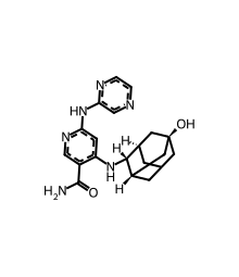 NC(=O)c1cnc(Nc2cnccn2)cc1N[C@@H]1[C@@H]2CC3C[C@H]1C[C@@](O)(C3)C2